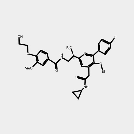 CCOc1c(CC(=O)NC2CC2)cc([C@@H](CNC(=O)c2ccc(OCCO)c(OC)c2)C(F)(F)F)nc1-c1ccc(F)cc1